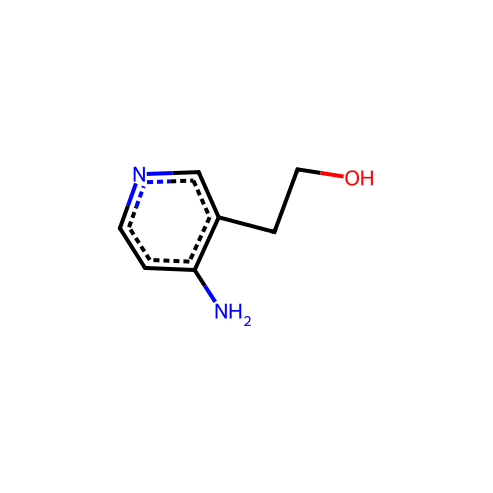 Nc1ccncc1CCO